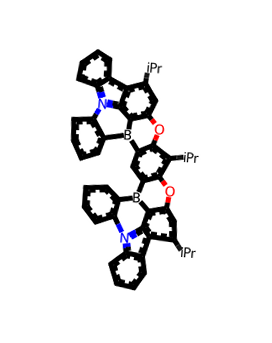 CC(C)c1c2c(cc3c1Oc1cc(C(C)C)c4c5ccccc5n5c4c1B3c1ccccc1-5)B1c3ccccc3-n3c4ccccc4c4c(C(C)C)cc(c1c43)O2